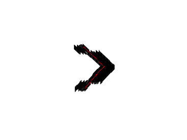 Cl.Cl.Cl.Cl.Cl.Cl.Cl.Cl.Cl.Cl.Cl.Cl.Cl.Cl.Cl.Cl.Cl.Cl.Cl.Cl.Cl.Cl.Cl.Cl.Cl.Cl.Cl.Cl.Cl.Cl.[NaH].[NaH].[NaH].[NaH].[NaH].[NaH].[NaH].[NaH].[NaH].[NaH].[NaH].[NaH].[NaH].[NaH].[NaH].[NaH].[NaH].[NaH].[NaH].[NaH].[NaH].[NaH].[NaH].[NaH].[NaH].[NaH].[NaH].[NaH].[NaH].[NaH].[NaH].[NaH].[NaH].[NaH].[NaH].[NaH].[NaH].[NaH].[NaH].[NaH].[NaH].[NaH].[NaH].[NaH].[NaH].[NaH].[NaH].[NaH].[NaH].[NaH].[NaH].[NaH].[NaH].[NaH].[NaH].[NaH].[NaH].[NaH].[NaH].[NaH].[NaH].[NaH].[NaH].[NaH].[NaH].[NaH].[NaH].[NaH].[NaH].[NaH]